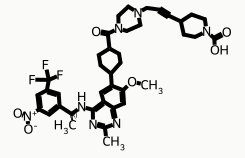 COc1cc2nc(C)nc(N[C@H](C)c3cc([N+](=O)[O-])cc(C(F)(F)F)c3)c2cc1C1CCC(C(=O)N2CCN(CC#CC3CCN(C(=O)O)CC3)CC2)CC1